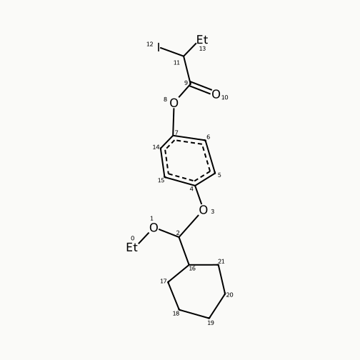 CCOC(Oc1ccc(OC(=O)C(I)CC)cc1)C1CCCCC1